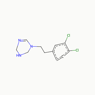 Clc1ccc(CCN2C=NCNC2)cc1Cl